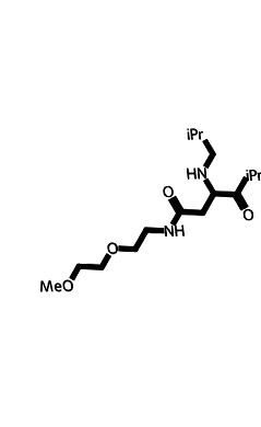 COCCOCCNC(=O)CC(NCC(C)C)C(=O)C(C)C